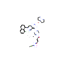 CC(F)(F)c1noc(/C=C/C(=O)N2CCN(c3nc(OC[C@@]45CCCN4C[C@H](F)C5)nc4c(F)c(-c5cccc6cccc(Cl)c56)ncc34)C[C@@H]2CC#N)n1